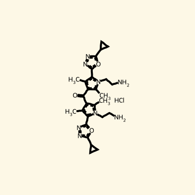 Cc1c(C(=O)c2c(C)c(-c3nnc(C4CC4)o3)n(CCN)c2C)c(C)n(CCN)c1-c1nnc(C2CC2)o1.Cl